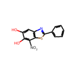 O=[N+]([O-])c1c(O)c(O)cc2nc(-c3ccccc3)sc12